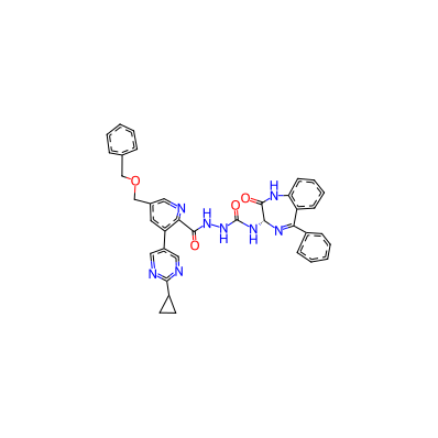 O=C(NNC(=O)c1ncc(COCc2ccccc2)cc1-c1cnc(C2CC2)nc1)N[C@H]1N=C(c2ccccc2)c2ccccc2NC1=O